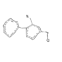 ClCc1ccc(-c2ccccc2)c(Br)c1